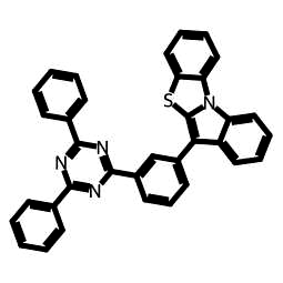 c1ccc(-c2nc(-c3ccccc3)nc(-c3cccc(-c4c5ccccc5n5c4sc4ccccc45)c3)n2)cc1